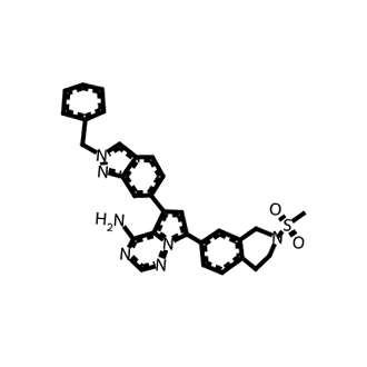 CS(=O)(=O)N1CCc2ccc(-c3cc(-c4ccc5cn(Cc6ccccc6)nc5c4)c4c(N)ncnn34)cc2C1